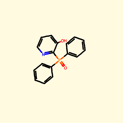 O=P(c1ccccc1)(c1ccccc1)c1ncccc1O